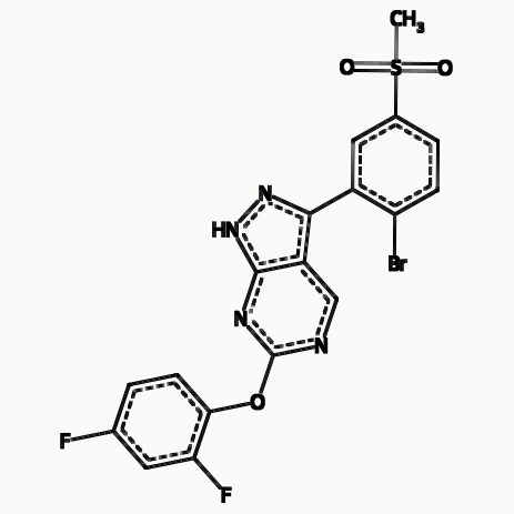 CS(=O)(=O)c1ccc(Br)c(-c2n[nH]c3nc(Oc4ccc(F)cc4F)ncc23)c1